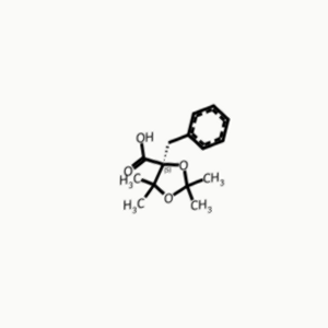 CC1(C)OC(C)(C)[C@@](Cc2ccccc2)(C(=O)O)O1